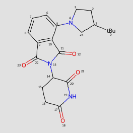 CC(C)(C)C1CCN(c2cccc3c2C(=O)N(C2CCC(=O)NC2=O)C3=O)C1